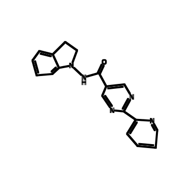 O=C(NN1CCc2ccccc21)c1cnc(-c2ccccn2)nc1